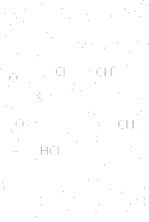 CC(C)CS(=O)(=O)Cl.Cl